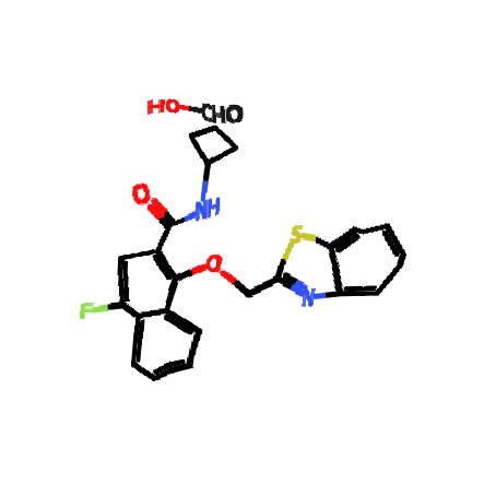 O=C(NC1CCC1)c1cc(F)c2ccccc2c1OCc1nc2ccccc2s1.O=CO